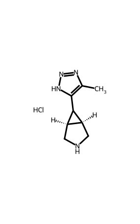 Cc1nn[nH]c1C1[C@H]2CNC[C@@H]12.Cl